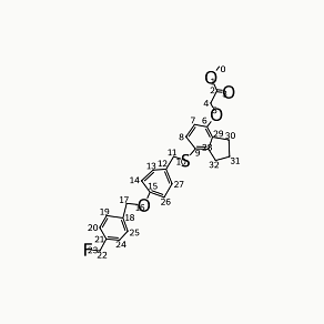 COC(=O)COc1ccc(SCc2ccc(OCc3ccc(CF)cc3)cc2)c2c1CCC2